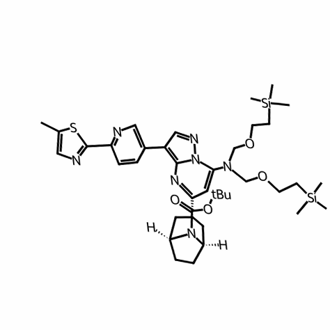 Cc1cnc(-c2ccc(-c3cnn4c(N(COCC[Si](C)(C)C)COCC[Si](C)(C)C)cc([C@@H]5C[C@H]6CC[C@@H](C5)N6C(=O)OC(C)(C)C)nc34)cn2)s1